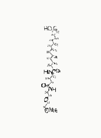 COCCOCCNC(=O)CCCNC(=O)CCCCCCCCCCCCC(=O)O